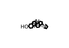 C[C@@H]1C=C2CC(O)CC[C@]2(C)[C@H]2CC[C@]3(C)C(n4cccc4)=CC[C@H]3[C@H]12